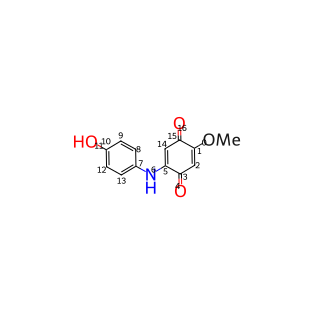 COC1=CC(=O)C(Nc2ccc(O)cc2)=CC1=O